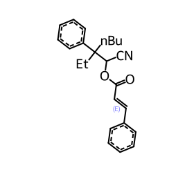 CCCCC(CC)(c1ccccc1)C(C#N)OC(=O)/C=C/c1ccccc1